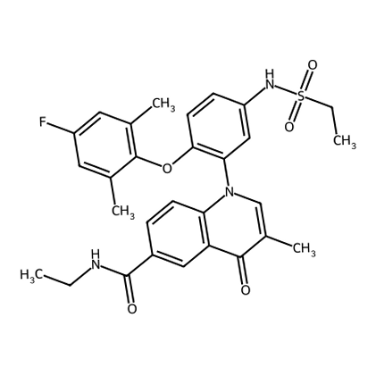 CCNC(=O)c1ccc2c(c1)c(=O)c(C)cn2-c1cc(NS(=O)(=O)CC)ccc1Oc1c(C)cc(F)cc1C